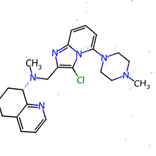 CN1CCN(c2cccc3nc(CN(C)[C@H]4CCCc5cccnc54)c(Cl)n23)CC1